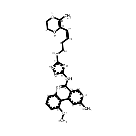 COc1cccc(F)c1-c1cc(C)ncc1C(=O)Nc1nnc(OCC/C=C\C2=C(C)OCCO2)s1